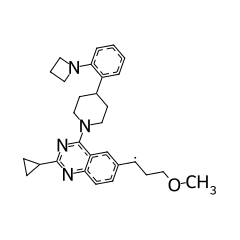 COCC[CH]c1ccc2nc(C3CC3)nc(N3CCC(c4ccccc4N4CCC4)CC3)c2c1